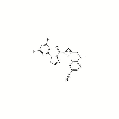 CN(CC12CC(C(=O)N3N=CCC3c3cc(F)cc(F)c3)(C1)C2)c1ncc(C#N)cn1